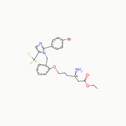 CCOC(=O)C[C@H](N)CCCOc1ccccc1Cn1c(C(F)(F)F)cnc1-c1ccc(Br)cc1